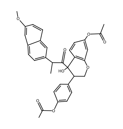 COc1ccc2cc(C(C)C(=O)C3(O)c4ccc(OC(C)=O)cc4OCC3c3ccc(OC(C)=O)cc3)ccc2c1